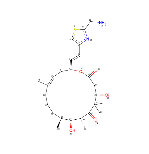 C/C1=C/C[C@@H](C=Cc2csc(CN)n2)OC(=O)C[C@H](O)C(C)(C)C(=O)[C@H](C)[C@@H](O)[C@@H](C)CCC1